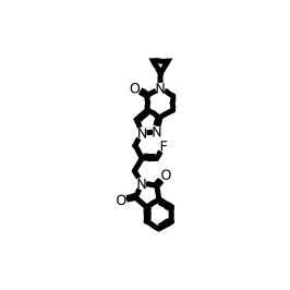 O=C1c2ccccc2C(=O)N1CC(=CF)Cn1cc2c(n1)CCN(C1CC1)C2=O